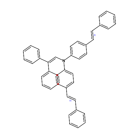 C(=C(c1ccccc1)c1ccccc1)N(c1ccc(/C=C/c2ccccc2)cc1)c1ccc(/C=C/c2ccccc2)cc1